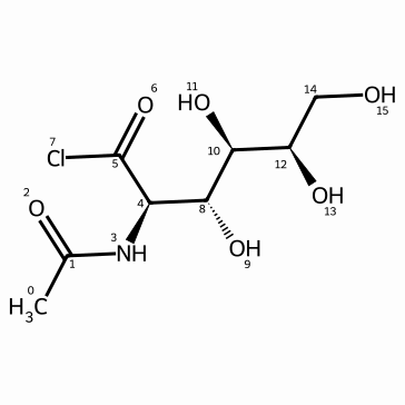 CC(=O)N[C@@H](C(=O)Cl)[C@@H](O)[C@@H](O)[C@H](O)CO